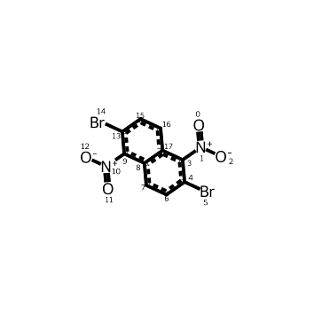 O=[N+]([O-])c1c(Br)ccc2c([N+](=O)[O-])c(Br)ccc12